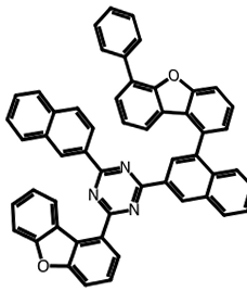 c1ccc(-c2cccc3c2oc2cccc(-c4cc(-c5nc(-c6ccc7ccccc7c6)nc(-c6cccc7oc8ccccc8c67)n5)cc5ccccc45)c23)cc1